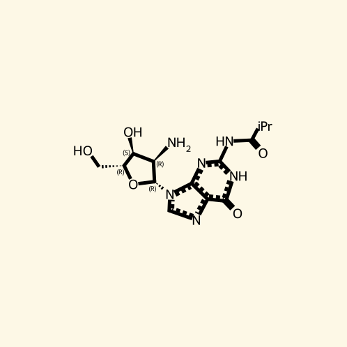 CC(C)C(=O)Nc1nc2c(ncn2[C@@H]2O[C@H](CO)[C@@H](O)[C@H]2N)c(=O)[nH]1